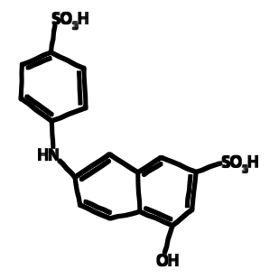 O=S(=O)(O)c1ccc(Nc2ccc3c(O)cc(S(=O)(=O)O)cc3c2)cc1